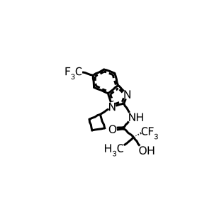 C[C@](O)(C(=O)Nc1nc2ccc(C(F)(F)F)cc2n1C1CCC1)C(F)(F)F